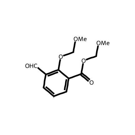 COCOC(=O)c1c[c]cc(C=O)c1OCOC